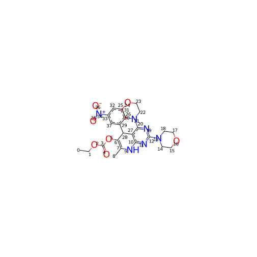 CCOC(=O)OC1=C(C)Nc2nc(N3CCOCC3)nc(N3CCOCC3)c2C1c1cccc([N+](=O)[O-])c1